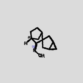 O/N=C1/[C@@H]2CCC(C2)C12CC1CC1C2